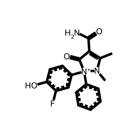 CC1=C(C(N)=O)C(=O)[N+](c2ccccc2)(c2ccc(O)c(F)c2)N1C